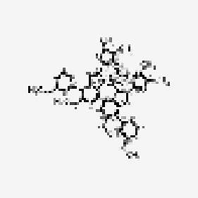 CCc1cccc(-c2c(CC)ccc3c2C=C(c2cc(C)c(C)o2)[CH]3[Zr]([Cl])([Cl])([CH]2C(c3cc(C)c(C)o3)=Cc3c2ccc(CC)c3-c2cccc(CC)c2)=[Si](C)C)c1